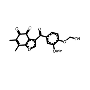 COc1cc(C(=O)c2coc3c2C(=O)C(=O)C(C)=C3C)ccc1OCC#N